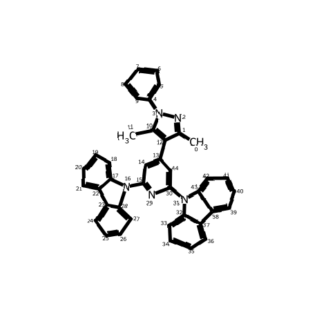 Cc1nn(-c2ccccc2)c(C)c1-c1cc(-n2c3ccccc3c3ccccc32)nc(-n2c3ccccc3c3ccccc32)c1